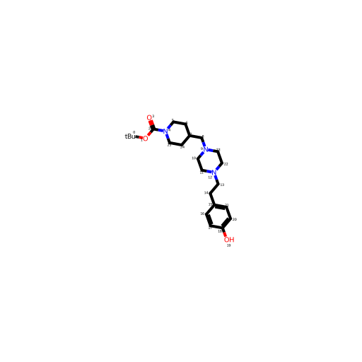 CC(C)(C)OC(=O)N1CCC(CN2CCN(CCc3ccc(O)cc3)CC2)CC1